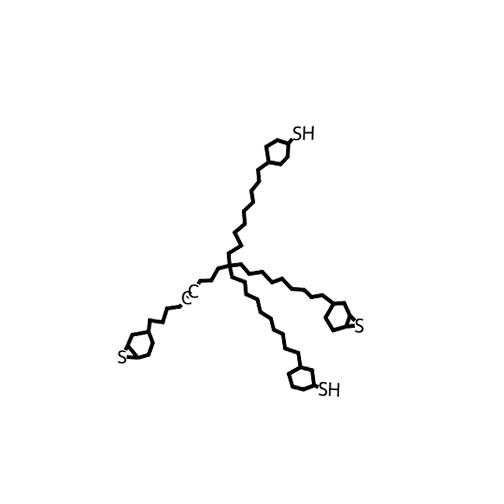 SC1CCC(CCCCCCCCCC(CCCCCCCCCCC2CCCC(S)C2)(CCCCCCCCCC2CCC3SC3C2)CCCCCCCCCC2CCC3SC3C2)CC1